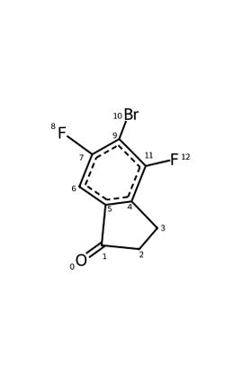 O=C1CCc2c1cc(F)c(Br)c2F